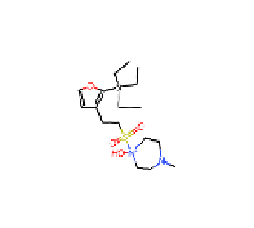 CC[Si](CC)(CC)c1occc1CCS(=O)(=O)[N+]1(O)CCN(C)CC1